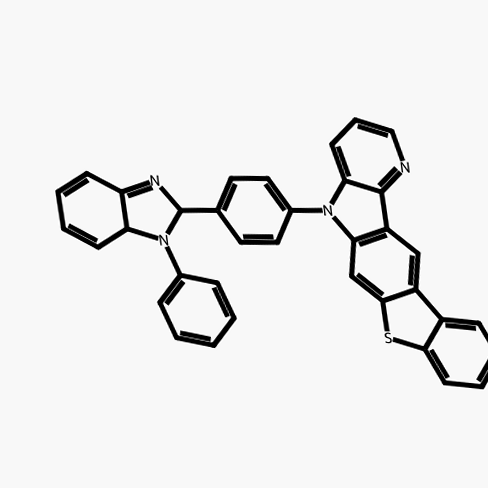 C1=CC2=NC(c3ccc(-n4c5cc6sc7ccccc7c6cc5c5ncccc54)cc3)N(c3ccccc3)C2C=C1